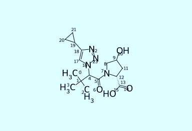 CC(C)(C)C(C(=O)N1CC(O)C[C@@H]1C(=O)O)n1cc(C2CC2)nn1